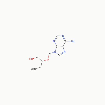 COCC(CO)OCN1C=NC2C(N)=NC=NC21